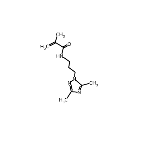 C=C(C)C(=O)NCCCn1nc(C)nc1C